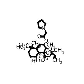 C=C[C@@]1(C)CC(=O)[C@@]2(O)[C@](C)(O1)[C@@H](OC(=O)CN1CCCC1)C=C1C(C)(C)CC[C@H](O)[C@@]12C.Cl